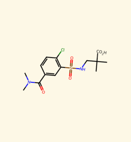 CN(C)C(=O)c1ccc(Cl)c(S(=O)(=O)NCC(C)(C)C(=O)O)c1